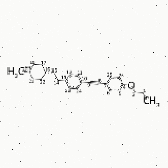 CCCOc1ccc(C#Cc2ccc(CC[C@H]3CC[C@H](C)CC3)cc2)cc1